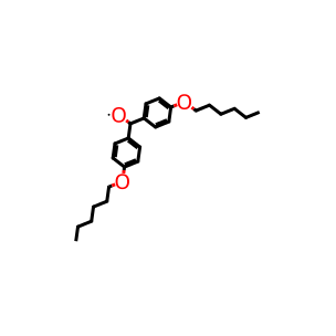 CCCCCCOc1ccc(C([O])c2ccc(OCCCCCC)cc2)cc1